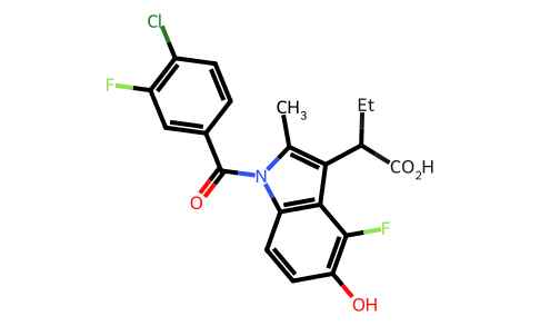 CCC(C(=O)O)c1c(C)n(C(=O)c2ccc(Cl)c(F)c2)c2ccc(O)c(F)c12